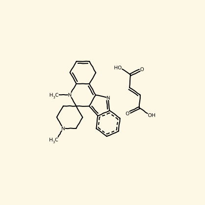 CN1CCC2(CC1)C1=c3ccccc3=NC1=C1CC=CC=C1N2C.O=C(O)C=CC(=O)O